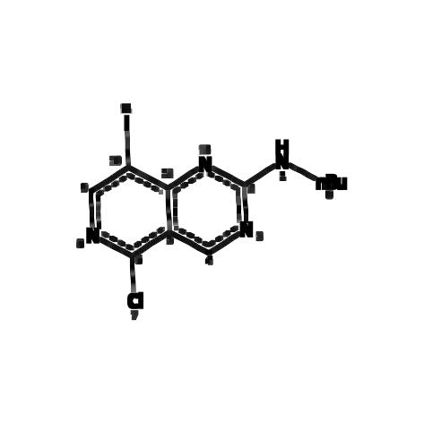 CCCCNc1ncc2c(Cl)ncc(I)c2n1